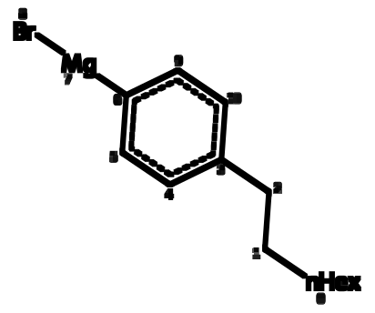 CCCCCCCCc1cc[c]([Mg][Br])cc1